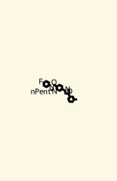 CCCCCc1nc2cc(C3=NOC(c4cccc(C)c4)C3)ccc2c(=O)n1-c1ccc(F)cc1